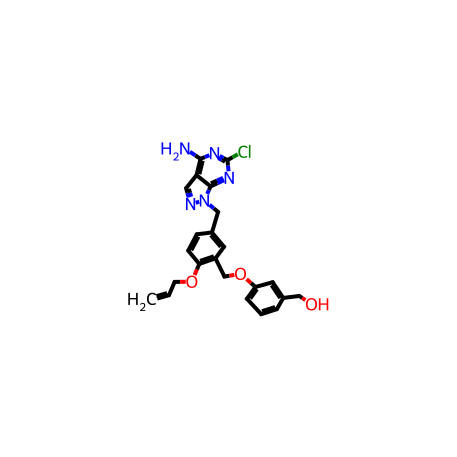 C=CCOc1ccc(Cn2ncc3c(N)nc(Cl)nc32)cc1COc1cccc(CO)c1